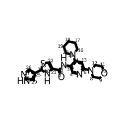 O=C(Nc1cnc(N2CCOCC2)cc1N1CCCCC1)C1=CSC(c2cn[nH]c2)N1